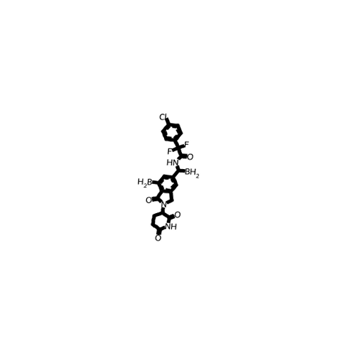 Bc1cc(C(B)NC(=O)C(F)(F)c2ccc(Cl)cc2)cc2c1C(=O)N(C1CCC(=O)NC1=O)C2